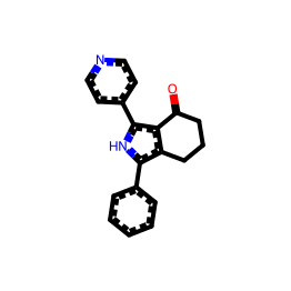 O=C1CCCc2c(-c3ccccc3)[nH]c(-c3ccncc3)c21